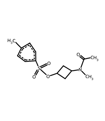 CC(=O)N(C)C1CC(OS(=O)(=O)c2ccc(C)cc2)C1